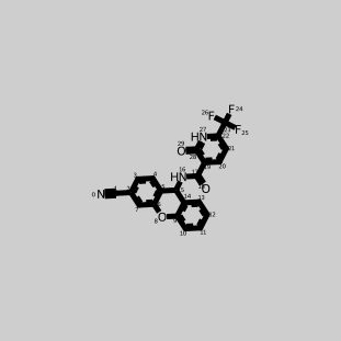 N#Cc1ccc2c(c1)Oc1ccccc1C2NC(=O)c1ccc(C(F)(F)F)[nH]c1=O